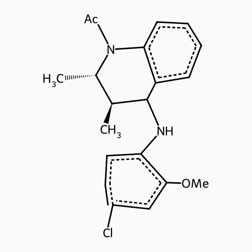 COc1cc(Cl)ccc1NC1c2ccccc2N(C(C)=O)[C@@H](C)[C@@H]1C